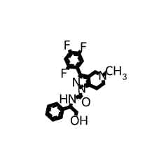 CN1CCc2c(c(-c3cc(F)c(F)cc3F)nn2C(=O)NC(CO)c2ccccc2)C1